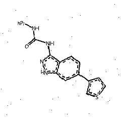 CCCNC(=O)Nc1n[nH]c2cc(-c3ccsc3)ccc12